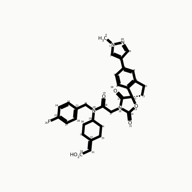 Cn1cc(-c2ccc3c(c2)CC[C@@]32OC(=O)N(CC(=O)N(Cc3ccc(F)cc3)C3CCC(=CC(=O)O)CC3)C2=O)cn1